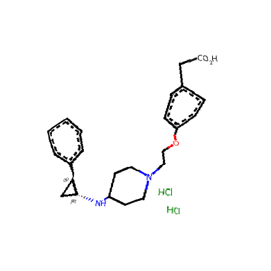 Cl.Cl.O=C(O)Cc1ccc(OCCN2CCC(N[C@@H]3C[C@H]3c3ccccc3)CC2)cc1